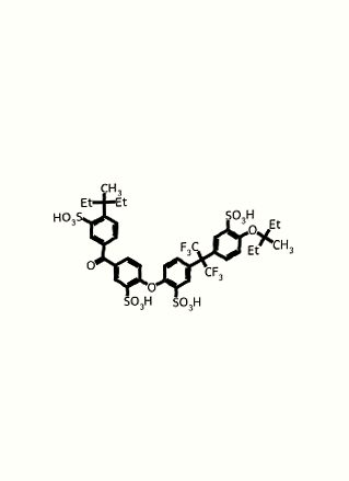 CCC(C)(CC)Oc1ccc(C(c2ccc(Oc3ccc(C(=O)c4ccc(C(C)(CC)CC)c(S(=O)(=O)O)c4)cc3S(=O)(=O)O)c(S(=O)(=O)O)c2)(C(F)(F)F)C(F)(F)F)cc1S(=O)(=O)O